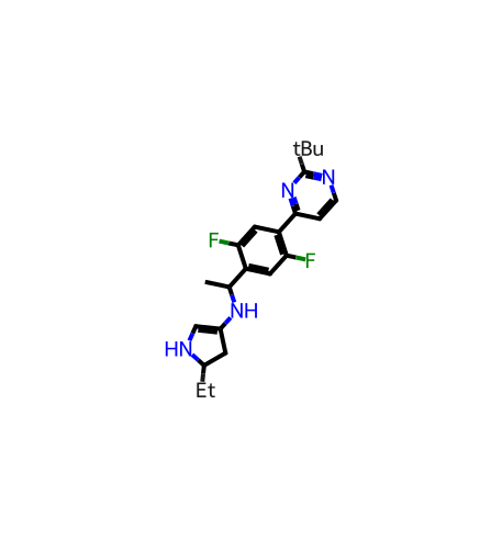 CCC1CC(NC(C)c2cc(F)c(-c3ccnc(C(C)(C)C)n3)cc2F)=CN1